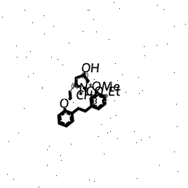 CCOC(=O)[N+]1(C)C[C@H](O)C[C@H]1CCOc1ccccc1CCc1cccc(OC)c1